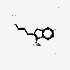 C/C=C/CC1=C(CCCC)c2ccccc2C1